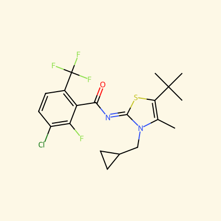 Cc1c(C(C)(C)C)s/c(=N\C(=O)c2c(C(F)(F)F)ccc(Cl)c2F)n1CC1CC1